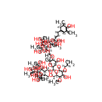 C=CCOC[C@H]1O[C@@H](O[C@H]2[C@H](O)[C@@H](OCCC[Si](O[Si](C)(O)O)(O[Si](C)(O)O)O[Si](C)(O)O[Si](O)(O)CCCC3=CC(C)=C(O)C(C)C3)[C@H](C)O[C@@H]2COCCC[Si](O[Si](C)(O)O)(O[Si](C)(O)O)O[Si](C)(O)O)[C@H](OCC=C)[C@@H](O)[C@@H]1OC